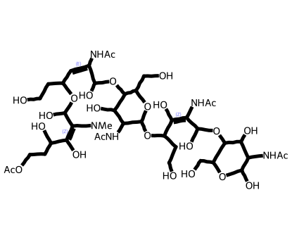 CN/C(=C(\O)C(O)CCOC(C)=O)C(O)OC(/C=C(/NC(C)=O)C(O)OC1C(CO)OC(OC(CCO)/C(O)=C(/NC(C)=O)C(O)OC2C(CO)OC(O)C(NC(C)=O)C2O)C(NC(C)=O)C1O)CCO